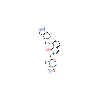 Cc1noc(C)c1NC(=O)Cn1ccc2cccc(Nc3ccc4c(cnn4C)c3)c2c1=O